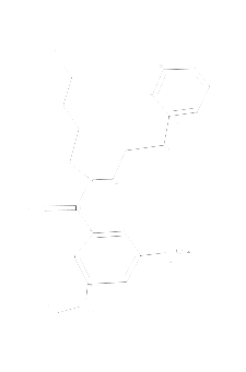 COc1cc(OC(F)(F)F)cc(C(=O)N(CCCCC(=O)O)CCCc2ccccc2)c1